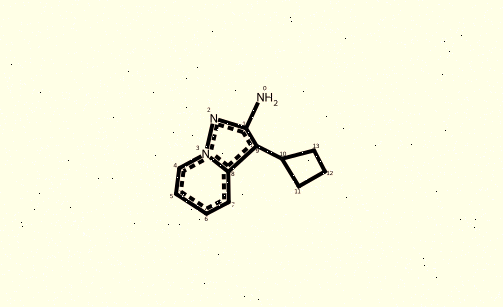 Nc1nn2ccccc2c1C1CCC1